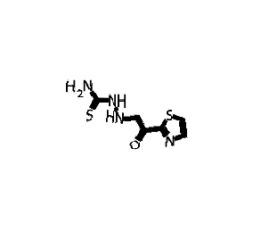 NC(=S)NNCC(=O)c1nccs1